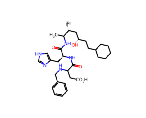 CC(C)[C@H](C[C@@H](O)CCC1CCCCC1)C(C)NC(=O)[C@H](Cc1c[nH]cn1)NC(=O)C(CC(=O)O)NCc1ccccc1